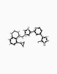 Cc1[nH]nnc1-c1ccnc(-c2cn(C[C@@H]3CCCc4cccc(C5CC5)c43)cn2)c1